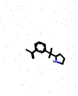 C=C(C)c1cccc(C(C)(C)C2CCCN2)c1